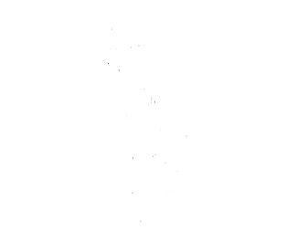 COc1c(C(C)C)cc(/C=C2\C(=O)Nc3cc(NC(C)=O)ccc32)cc1C(C)C